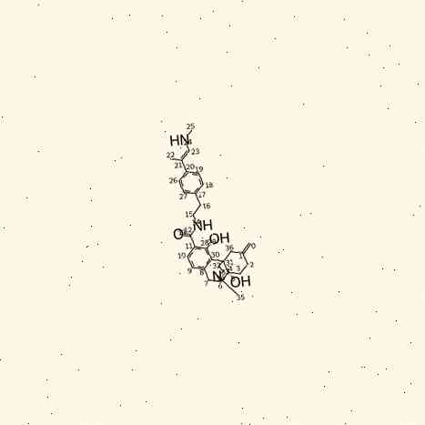 C=C1CC[C@@]2(O)C3Cc4ccc(C(=O)NCCc5ccc(/C(C)=C/NC)cc5)c(O)c4C2(CCN3C)C1